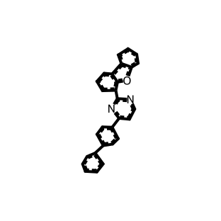 c1ccc(-c2ccc(-c3ccnc(-c4cccc5c4oc4ccccc45)n3)cc2)cc1